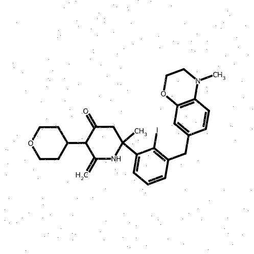 C=C1NC(C)(c2cccc(Cc3ccc4c(c3)OCCN4C)c2I)CC(=O)C1C1CCOCC1